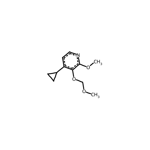 COCOc1c(C2CC2)ccnc1OC